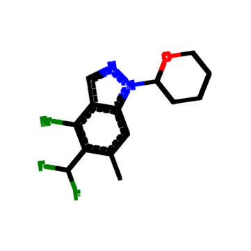 Cc1cc2c(cnn2C2CCCCO2)c(Br)c1C(F)F